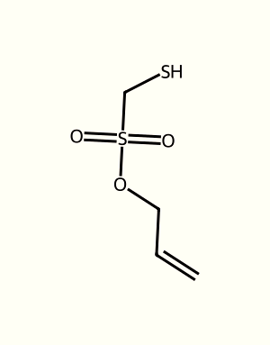 C=CCOS(=O)(=O)CS